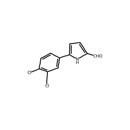 O=Cc1ccc(-c2ccc(Cl)c(Cl)c2)[nH]1